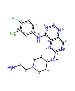 NCCN1CCC(Nc2ncc3ncnc(Nc4ccc(F)c(Cl)c4)c3n2)CC1